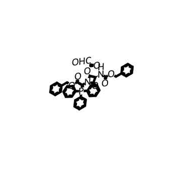 O=CC(=O)O[C@@H]1[C@H](NC(=O)OCc2ccccc2)C(=O)N1C(C(=O)OCc1ccccc1)=P(c1ccccc1)(c1ccccc1)c1ccccc1